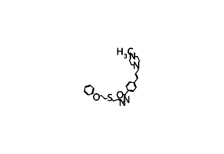 CN1CCN(CC=Cc2ccc(-c3nnc(CSCCOc4ccccc4)o3)cc2)CC1